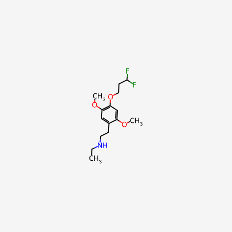 CCNCCc1cc(OC)c(OCCC(F)F)cc1OC